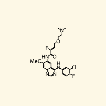 COc1cc2ncnc(Nc3ccc(F)c(Cl)c3)c2cc1NC(=O)C(F)=CCOCCN(C)C